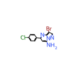 Nc1cc(-c2ccc(Cl)cc2)nc2c(Br)cnn12